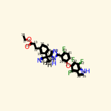 [2H]C([2H])([2H])C(C#N)(c1cccc(CCC(=O)OCC)c1)c1cnc(-c2cc(Oc3c(F)c(F)c4[nH]ccc4c3F)ccc2F)[nH]1